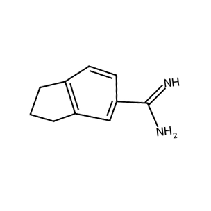 N=C(N)c1ccc2c(c1)CCC2